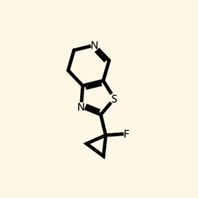 FC1(c2nc3c(s2)C=NCC3)CC1